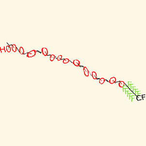 CC(O)COCCOCCOCCOCCOCCOCCOCCOCCOCCOCCOCCOCCOCC(F)(F)C(F)(F)C(F)(F)C(F)(F)C(F)(F)C(F)(F)F